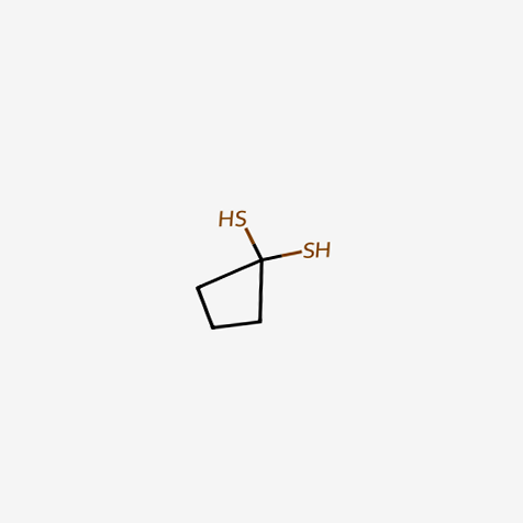 SC1(S)CCC1